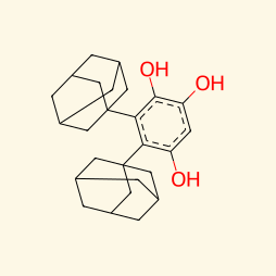 Oc1cc(O)c(C23CC4CC(CC(C4)C2)C3)c(C23CC4CC(CC(C4)C2)C3)c1O